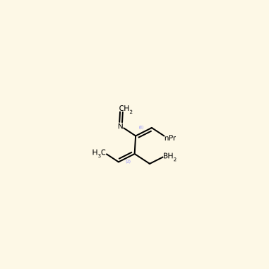 BCC(=C/C)/C(=C\CCC)N=C